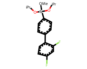 CO[Si](OC(C)C)(OC(C)C)c1ccc(-c2ccc(F)cc2F)cc1